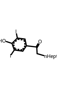 CCCCCCCCC(=O)c1cc(I)c(O)c(I)c1